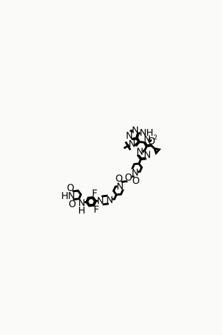 CC(C)(C)n1cc(-c2noc(C3CC3)c2-c2ncc(C3CCN(C(=O)OCC(=O)N4CCC(CN5CCN(c6c(F)cc(NC7CCC(=O)NC7=O)cc6F)CC5)CC4)CC3)cn2)c2c(N)ncnc21